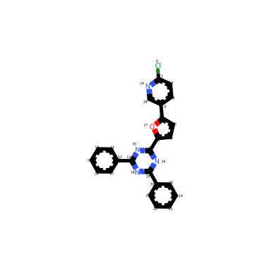 Clc1ccc(-c2ccc(-c3nc(-c4ccccc4)nc(-c4ccccc4)n3)o2)cn1